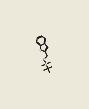 CC(C)(C)[Si](C)(C)OCc1cc2ccccc2o1